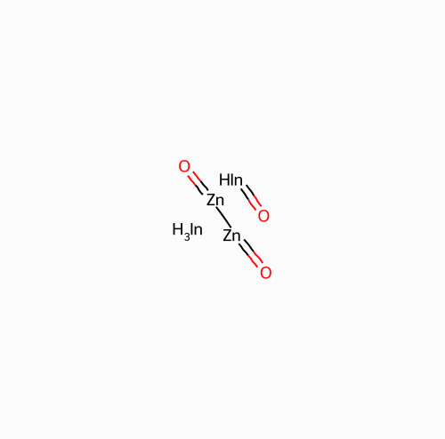 [InH3].[O]=[InH].[O]=[Zn][Zn]=[O]